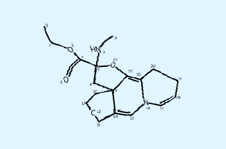 CCOC(=O)C1(NC)CC23CCCCC2=CN2C=CCCC2=C3O1